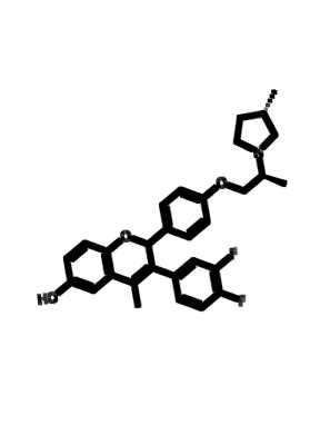 CC1=C(c2ccc(F)c(F)c2)C(c2ccc(OC[C@H](C)N3CC[C@H](C)C3)cc2)Oc2ccc(O)cc21